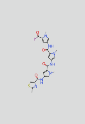 Cc1nc(C(=O)Nc2cc(C(=O)Nc3cc(C(=O)Nc4cc(C(=O)I)n(C)c4)n(C)c3)n(C)c2)cs1